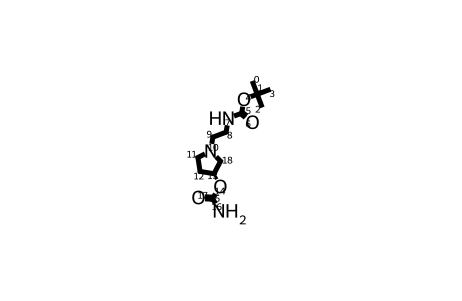 CC(C)(C)OC(=O)NCCN1CC[C@H](OC(N)=O)C1